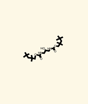 CC(C)(C)CC(C)(C)COC(=O)NCC(O)CNC(=O)OCC(C)(C)CC(C)(C)C